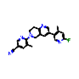 Cc1cc(F)ncc1-c1cnc2c(c1)CN(c1ncc(C#N)cc1C)CC2